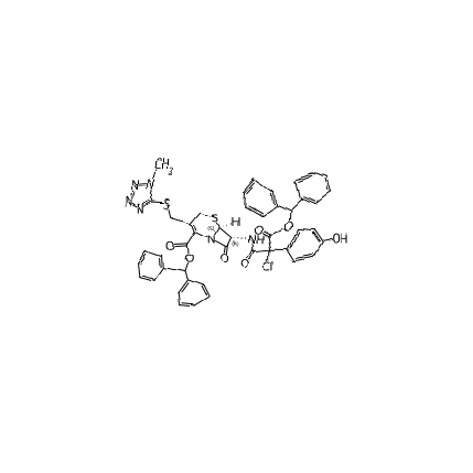 Cn1nnnc1SCC1=C(C(=O)OC(c2ccccc2)c2ccccc2)N2C(=O)[C@@H](NC(=O)C(Cl)(C(=O)OC(c3ccccc3)c3ccccc3)c3ccc(O)cc3)[C@@H]2SC1